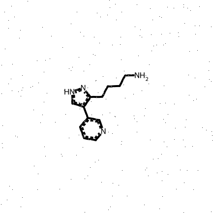 NCCCCc1n[nH]cc1-c1cccnc1